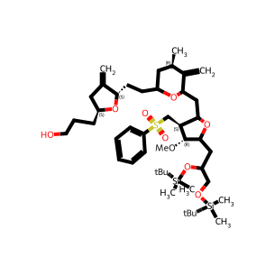 C=C1C(CC2OC(CC(CO[Si](C)(C)C(C)(C)C)O[Si](C)(C)C(C)(C)C)[C@H](OC)[C@H]2CS(=O)(=O)c2ccccc2)OC(CC[C@@H]2O[C@@H](CCCO)CC2=C)C[C@H]1C